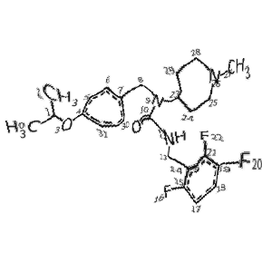 CC(C)Oc1ccc(CN(C(=O)NCc2c(F)ccc(F)c2F)C2CCN(C)CC2)cc1